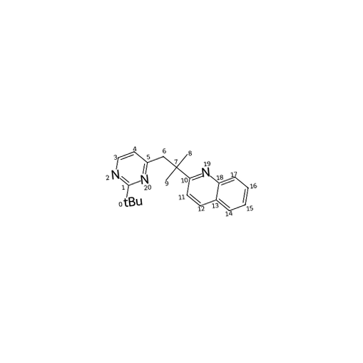 CC(C)(C)c1nccc(CC(C)(C)c2ccc3ccccc3n2)n1